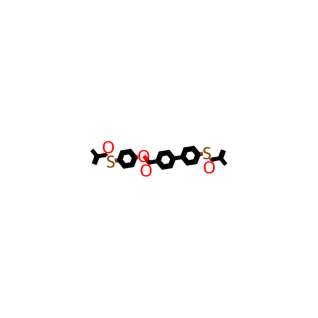 C=C(C)C(=O)Sc1ccc(OC(=O)c2ccc(-c3ccc(SC(=O)C(=C)C)cc3)cc2)cc1